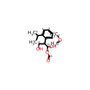 CC(C)c1ccccc1C(CO)C(O)OC=O.COC